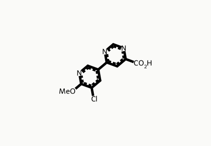 COc1ncc(-c2cc(C(=O)O)ncn2)cc1Cl